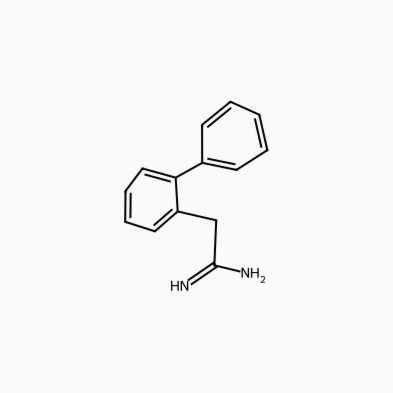 N=C(N)Cc1ccccc1-c1ccccc1